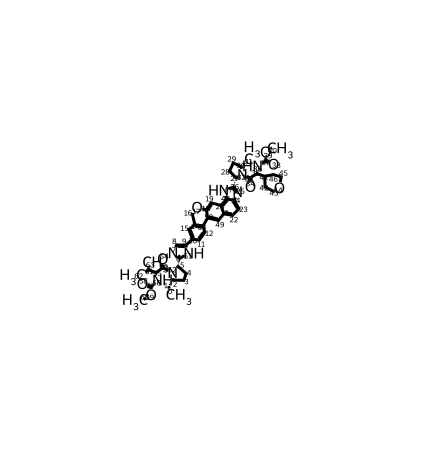 CC[C@H]1CC[C@@H](c2ncc(-c3ccc4c(c3)COc3cc5c(ccc6nc([C@@H]7CC[C@H](C)N7C(=O)[C@@H](NC(=O)OC)C7CCOCC7)[nH]c65)cc3-4)[nH]2)N1C(=O)[C@@H](NC(=O)OC)C(C)C